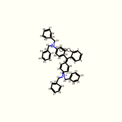 O=C([O-])c1ccccc1C(=C1C=CC(=[N+](Cc2ccccc2)Cc2ccccc2)C=C1)c1ccc(N(Cc2ccccc2)Cc2ccccc2)cc1